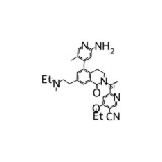 CCOc1cc([C@H](C)N2CCc3c(cc(CCN(C)CC)cc3-c3cc(N)ncc3C)C2=O)ncc1C#N